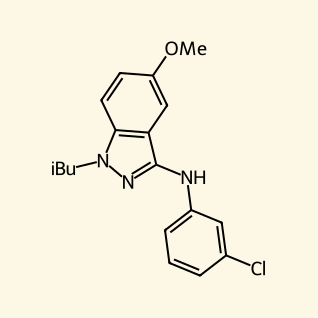 CCC(C)n1nc(Nc2cccc(Cl)c2)c2cc(OC)ccc21